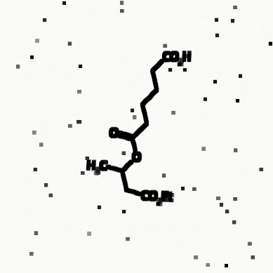 CCOC(=O)CC(C)OC(=O)CCCCC(=O)O